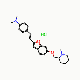 CN(C)c1ccc(C=Cc2cc3ccc(OCC4CCCCN4C)cc3o2)cc1.Cl